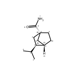 CC(C)[C@H]1[CH][C@@]2(C(N)=O)CC[C@H]1C2